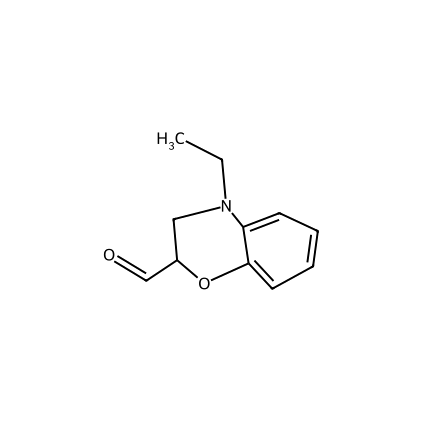 CCN1CC(C=O)Oc2ccccc21